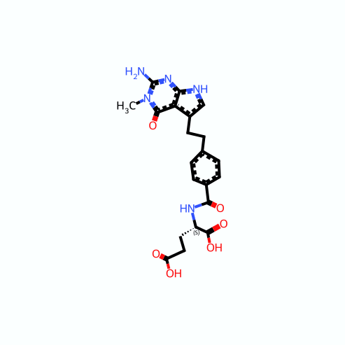 Cn1c(N)nc2[nH]cc(CCc3ccc(C(=O)N[C@@H](CCC(=O)O)C(=O)O)cc3)c2c1=O